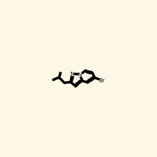 CC(C)Cc1cc2cc(Br)ccn2n1